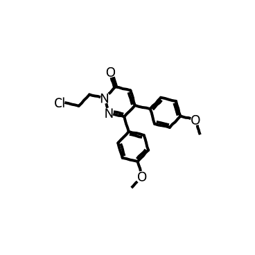 COc1ccc(-c2cc(=O)n(CCCl)nc2-c2ccc(OC)cc2)cc1